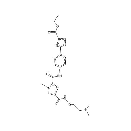 C=C(NOCCN(C)C)c1cc(C(=O)Nc2ccc(-c3nc(C(=O)OCC)cs3)cc2)n(C)c1